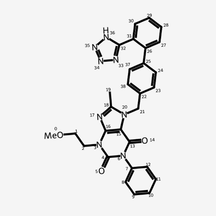 COCCn1c(=O)n(-c2ccccc2)c(=O)c2c1nc(C)n2Cc1ccc(-c2ccccc2-c2nnn[nH]2)cc1